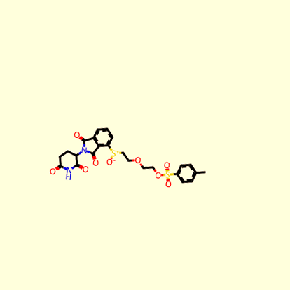 Cc1ccc(S(=O)(=O)OCCOCC[S+]([O-])c2cccc3c2C(=O)N(C2CCC(=O)NC2=O)C3=O)cc1